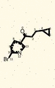 O=C(CCC1CC1)c1ccc(Br)nc1